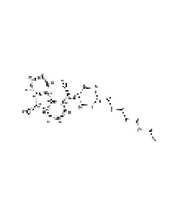 CCCCCCCCC1CCN(C(=O)c2cccc3c2-c2ccccc2C3=O)CC1